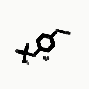 CC(C)(C)Oc1ccc(OS(C)(=O)=O)cc1.S